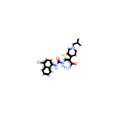 CC(C)CN1CCc2c(sc(NC(=O)Nc3ccc(Cl)c4ccccc34)c2C(N)=O)C1